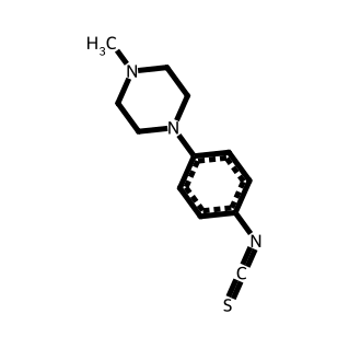 CN1CCN(c2ccc(N=C=S)cc2)CC1